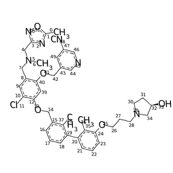 Cc1nc(CN(C)Cc2cc(Cl)c(OCc3cccc(-c4cccc(OCCCN5CC[C@@H](O)C5)c4C)c3C)cc2OCc2cncc(C#N)c2)no1